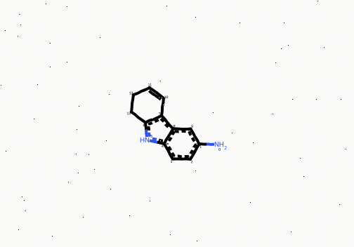 Nc1ccc2[nH]c3c(c2c1)C=CCC3